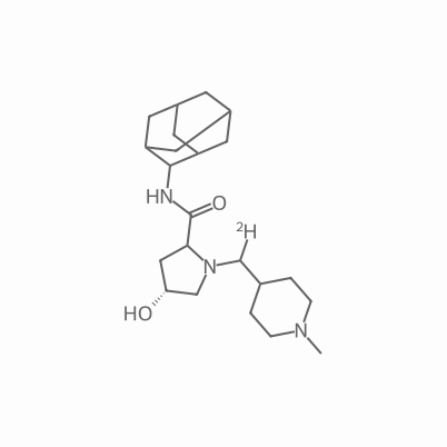 [2H]C(C1CCN(C)CC1)N1C[C@H](O)CC1C(=O)NC1C2CC3CC(C2)CC1C3